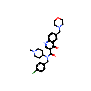 CN1CCC(N(Cc2ccc(Cl)cc2)C(=O)c2c[nH]c3ccc(CN4CCOCC4)cc3c2=O)CC1